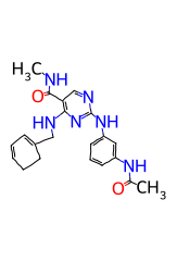 CNC(=O)c1cnc(Nc2cccc(NC(C)=O)c2)nc1NCC1=CC=CCC1